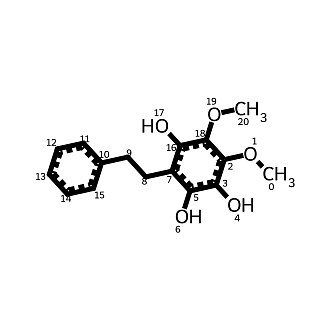 COc1c(O)c(O)c(CCc2ccccc2)c(O)c1OC